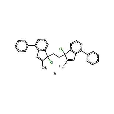 CC1=Cc2c(-c3ccccc3)cccc2C1(Cl)CCC1(Cl)C(C)=Cc2c(-c3ccccc3)cccc21.[Zr]